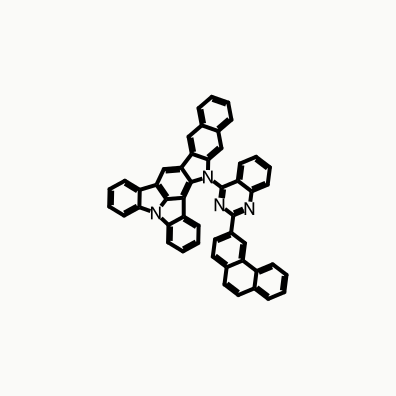 c1ccc2cc3c(cc2c1)c1cc2c4ccccc4n4c5ccccc5c(c1n3-c1nc(-c3ccc5ccc6ccccc6c5c3)nc3ccccc13)c24